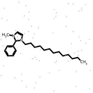 CCCCCCCCCCCCCN1C=CN(C)C1c1ccccc1